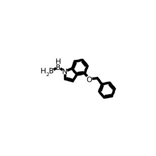 BBn1ccc2c(OCc3ccccc3)cccc21